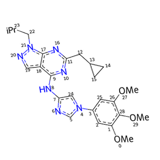 COc1cc(-n2cnc(Nc3nc(CC4CC4)nc4c3cnn4CC(C)C)c2)cc(OC)c1OC